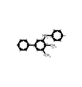 Cc1cc(-c2ccccc2)[c]c(Nc2ccccc2)c1C